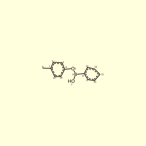 Cc1ccc(OB(O)c2ccccc2)cc1